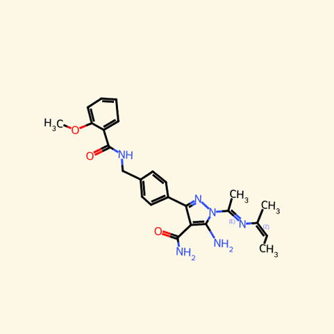 C/C=C(C)\N=C(/C)n1nc(-c2ccc(CNC(=O)c3ccccc3OC)cc2)c(C(N)=O)c1N